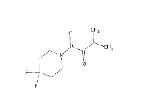 CC(C)C(=O)C(=O)N1CCC(F)(F)CC1